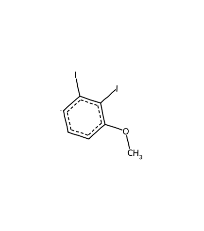 COc1cc[c]c(I)c1I